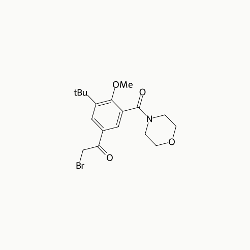 COc1c(C(=O)N2CCOCC2)cc(C(=O)CBr)cc1C(C)(C)C